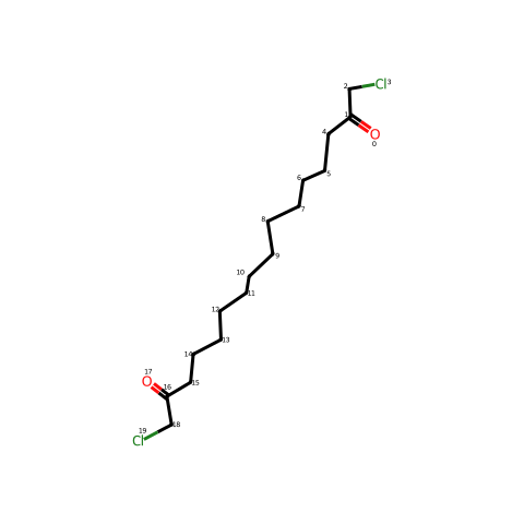 O=C(CCl)CCCCCCCCCCCCC(=O)CCl